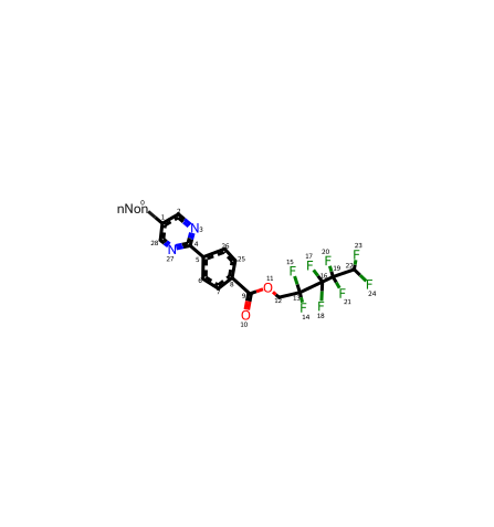 CCCCCCCCCc1cnc(-c2ccc(C(=O)OCC(F)(F)C(F)(F)C(F)(F)C(F)F)cc2)nc1